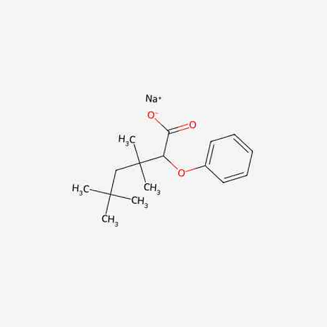 CC(C)(C)CC(C)(C)C(Oc1ccccc1)C(=O)[O-].[Na+]